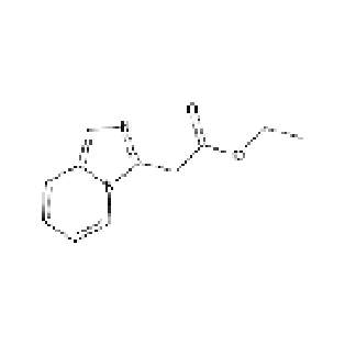 CCOC(=O)Cc1ncc2ccccn12